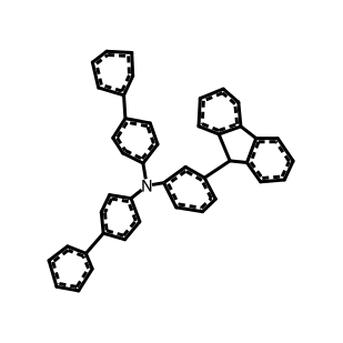 c1ccc(-c2ccc(N(c3ccc(-c4ccccc4)cc3)c3cccc(C4c5ccccc5-c5ccccc54)c3)cc2)cc1